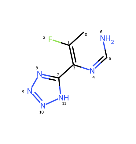 C/C(F)=C(\N=C/N)c1nnn[nH]1